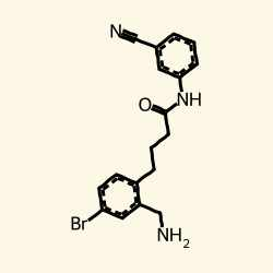 N#Cc1cccc(NC(=O)CCCc2ccc(Br)cc2CN)c1